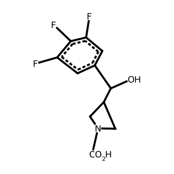 O=C(O)N1CC(C(O)c2cc(F)c(F)c(F)c2)C1